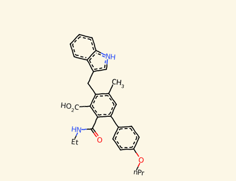 CCCOc1ccc(-c2cc(C)c(Cc3c[nH]c4ccccc34)c(C(=O)O)c2C(=O)NCC)cc1